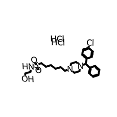 Cl.Cl.O=S(=O)(CCCCCCN1CCN(C(c2ccccc2)c2ccc(Cl)cc2)CC1)NCCO